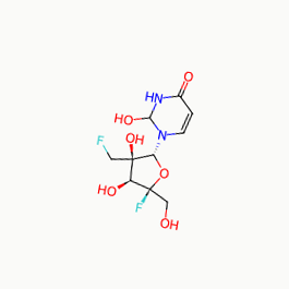 O=C1C=CN([C@@H]2O[C@](F)(CO)[C@@H](O)[C@]2(O)CF)C(O)N1